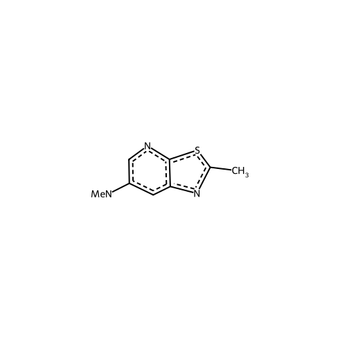 CNc1cnc2sc(C)nc2c1